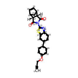 C#CCOc1ccc(-c2ccc3nc(N4C(=O)[C@@H]5C6C=CC(C6)[C@@H]5C4=O)sc3c2)cc1